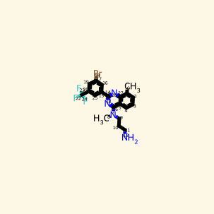 Cc1cccc2c(N(C)CCCN)nc(-c3cc(Br)cc(C(F)(F)F)c3)nc12